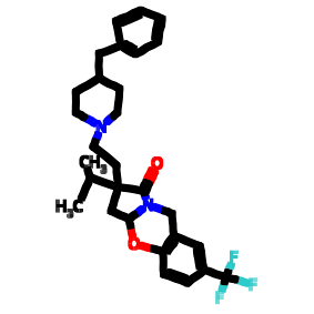 CC(C)C1(CCN2CCC(Cc3ccccc3)CC2)CC2Oc3ccc(C(F)(F)F)cc3CN2C1=O